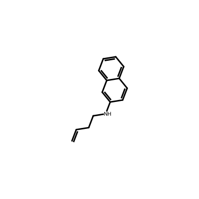 C=CCCNc1ccc2ccccc2c1